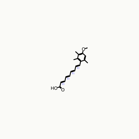 COc1cc(C)c(/C=C/C=C/C=C/C=C/C(=O)O)c(C)c1C